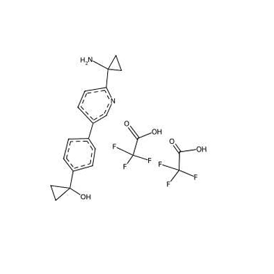 NC1(c2ccc(-c3ccc(C4(O)CC4)cc3)cn2)CC1.O=C(O)C(F)(F)F.O=C(O)C(F)(F)F